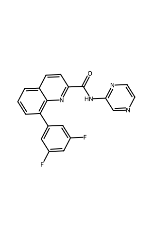 O=C(Nc1cnccn1)c1ccc2cccc(-c3cc(F)cc(F)c3)c2n1